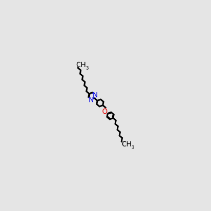 CCCCCCCCCCc1cnc(C2CCC(COc3ccc(CCCCCCCCC)cc3)CC2)nc1